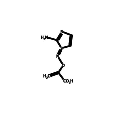 C=C(ON=S1C=CN=C1N)C(=O)O